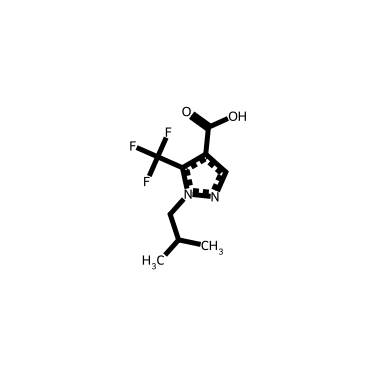 CC(C)Cn1ncc(C(=O)O)c1C(F)(F)F